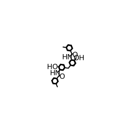 Cc1cccc(C(=O)Nc2cc(Cc3ccc(O)c(NC(=O)c4cccc(C)c4)c3)ccc2O)c1